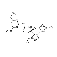 CCn1ncc(-c2nnn(C)n2)c1S(=O)(=O)NC(=S)Nc1nc(OC)cc(OC)n1